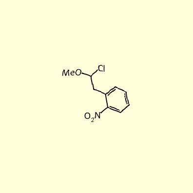 COC(Cl)Cc1ccccc1[N+](=O)[O-]